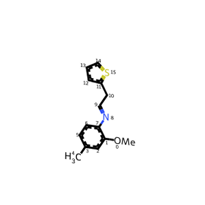 COc1cc(C)ccc1N=CCc1cccs1